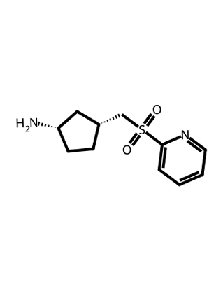 N[C@H]1CC[C@@H](CS(=O)(=O)c2ccccn2)C1